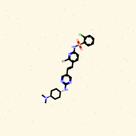 CCc1nc(NS(=O)(=O)c2ccccc2Cl)ccc1/C=C/c1cnc(N[C@H]2CC[C@H](N(C)C)CC2)nc1